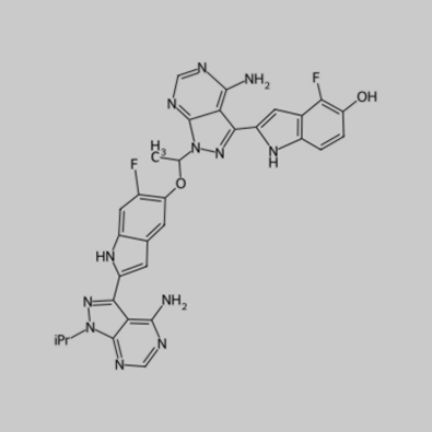 CC(C)n1nc(-c2cc3cc(OC(C)n4nc(-c5cc6c(F)c(O)ccc6[nH]5)c5c(N)ncnc54)c(F)cc3[nH]2)c2c(N)ncnc21